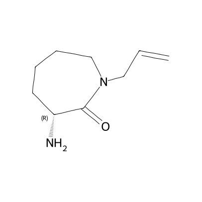 C=CCN1CCCC[C@@H](N)C1=O